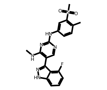 CNc1nc(Nc2ccc(C)c(S(C)(=O)=O)c2)ncc1-c1n[nH]c2cccc(F)c12